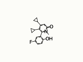 Cn1c(-c2cc(F)ccc2O)c(C2CC2)c(C2CC2)cc1=O